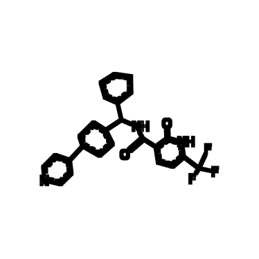 O=C(NC(c1ccccc1)c1ccc(-c2ccncc2)cc1)c1ccc(C(F)(F)F)[nH]c1=O